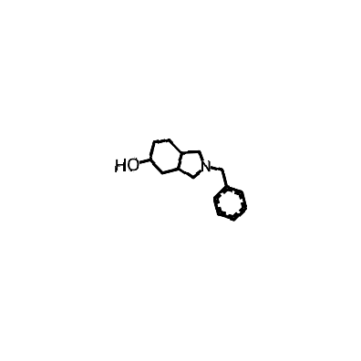 OC1CCC2CN(Cc3ccccc3)CC2C1